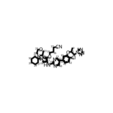 CC(Cn1cnnn1)Oc1cc(-c2cnc(Nc3cn(C4(N5CCOCC5)CCCCC4)nc3OCCCC#N)nc2)ccc1Cl